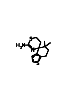 CC1(C)CCc2sccc2C12CCSC(N)=N2